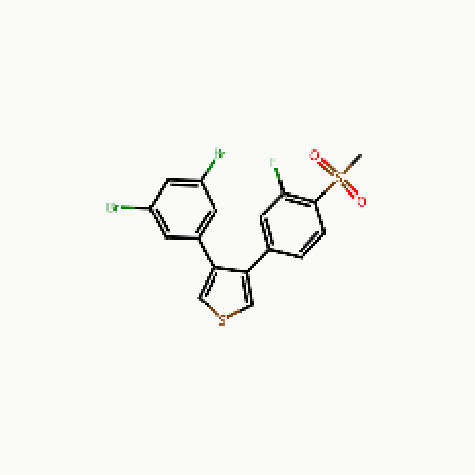 CS(=O)(=O)c1ccc(-c2cscc2-c2cc(Br)cc(Br)c2)cc1F